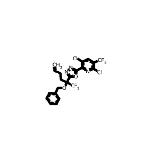 C=CCCC(OCc1ccccc1)(c1nnc(-c2nc(Cl)c(C(F)(F)F)cc2Cl)o1)C(F)(F)F